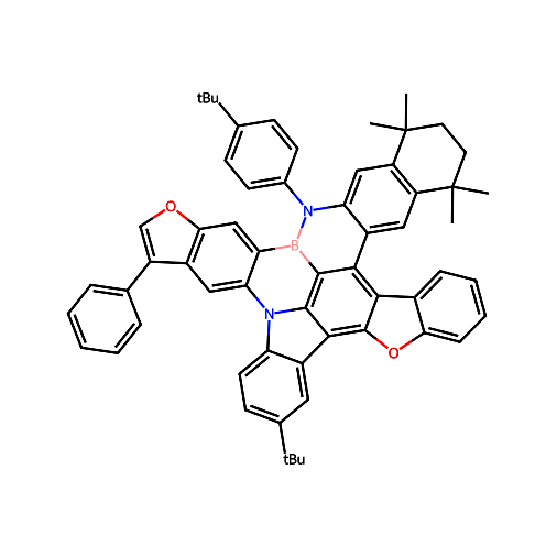 CC(C)(C)c1ccc(N2B3c4cc5occ(-c6ccccc6)c5cc4-n4c5ccc(C(C)(C)C)cc5c5c6oc7ccccc7c6c(c3c54)-c3cc4c(cc32)C(C)(C)CCC4(C)C)cc1